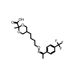 CC(=NOCCCCC1COC(C)(C(=O)O)OC1)c1ccc(C(F)(F)F)cc1